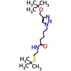 CC(C)(C)OCc1cn(CCCCC(=O)NCCSC(C)(C)C)nn1